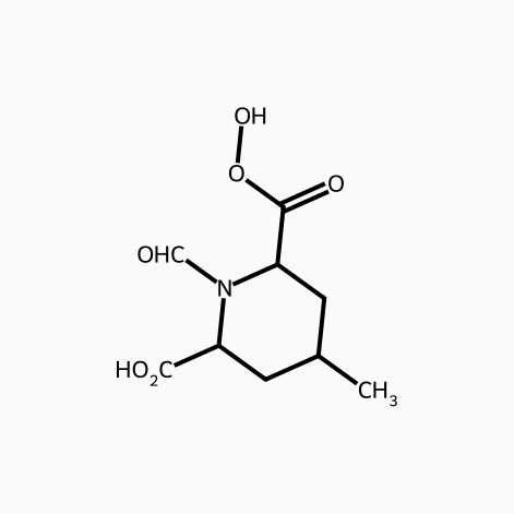 CC1CC(C(=O)O)N(C=O)C(C(=O)OO)C1